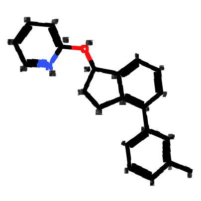 Cc1cccc(-c2cccc3c2CCC3Oc2ccccn2)c1